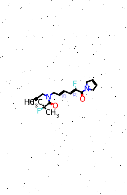 C#CCN(C/C=C/C=C(\F)C(=O)N1CC=CC1)C(=O)C(C)(C)F